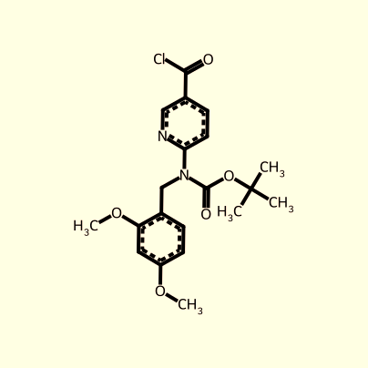 COc1ccc(CN(C(=O)OC(C)(C)C)c2ccc(C(=O)Cl)cn2)c(OC)c1